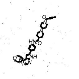 CC#CC(=O)N1CCC(N2CCC(C(=O)Nc3ccc(-c4cc5c(N6C7CCC6COC7)ncnc5[nH]4)cc3)CC2)CC1